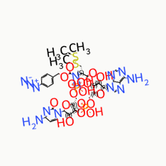 CC(C)(C)SSC[C@@H](NC(=O)OCc1ccc(N=[N+]=[N-])cc1)C(=O)O[C@H]1[C@@H](O)[C@H](n2cnc3c(N)ncnc32)O[C@@H]1COP(=O)(O)O[C@@H]1[C@@H](COP(=O)(O)O)OC(n2ccc(N)nc2=O)[C@@H]1O